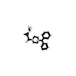 C=C[C@H]1CC1C(=O)N1CCN(C(c2ccccc2)c2ccccc2)CC1